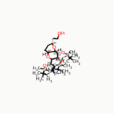 CC(C)(C)[Si](C)(C)O[C@H]1[C@H]2O[C@@H](CCO)CC[C@@H]2OC([C@H](/C=C/I)O[Si](C)(C)C(C)(C)C)[C@H]1O[Si](C)(C)C(C)(C)C